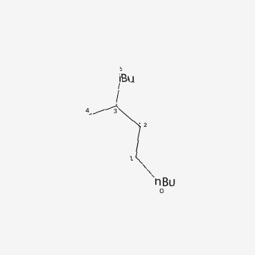 CCCCC[CH]C(C)C(C)CC